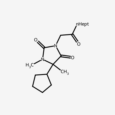 CCCCCCCC(=O)CN1C(=O)N(C)C(C)(C2CCCC2)C1=O